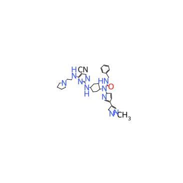 Cn1cc(-c2ccc(N(C(=O)NCc3ccccc3)C3CCC(Nc4ncc(C#N)c(NCCN5CCCC5)n4)CC3)nc2)cn1